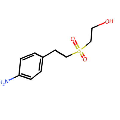 Nc1ccc(CCS(=O)(=O)CCO)cc1